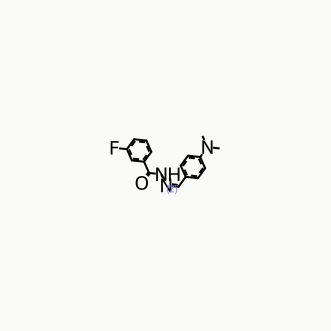 CN(C)c1ccc(/C=N\NC(=O)c2cccc(F)c2)cc1